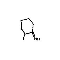 CC1CCCCC1=N